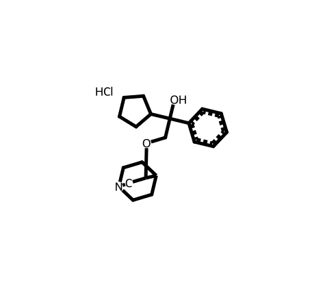 Cl.OC(COC1CN2CCC1CC2)(c1ccccc1)C1CCCC1